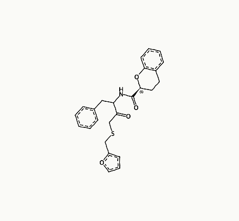 O=C(CSCc1ccco1)C(Cc1ccccc1)NC(=O)[C@@H]1CCc2ccccc2O1